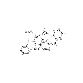 C1CO1.CCCCCCCCCc1ccccc1Oc1ccccc1CCCCCCCCC.c1ccc(Oc2ccccc2)cc1